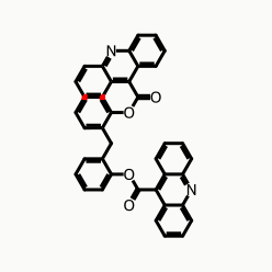 O=C(Oc1ccccc1Cc1ccccc1OC(=O)c1c2ccccc2nc2ccccc12)c1c2ccccc2nc2ccccc12